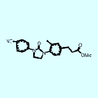 COC(=O)CCc1ccc(N2CCN(c3ccc(C#N)cc3)C2=O)c(C)c1